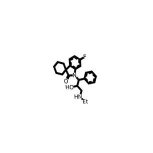 CCNCC(O)C(c1ccccc1)N1C(=O)C2(CCCCC2)c2ccc(F)cc21